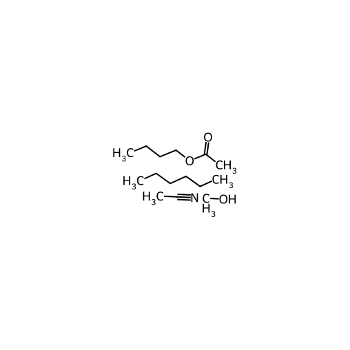 CC#N.CCCCCC.CCCCOC(C)=O.CO